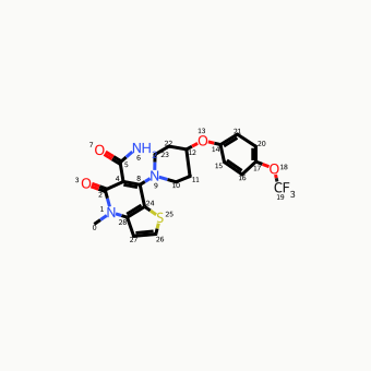 Cn1c(=O)c(C(N)=O)c(N2CCC(Oc3ccc(OC(F)(F)F)cc3)CC2)c2sccc21